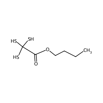 CCCCOC(=O)C(S)(S)S